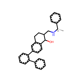 C[C@H](NCC1CCc2cc(-c3ccccc3-c3ccccc3)ccc2C1O)c1ccccc1